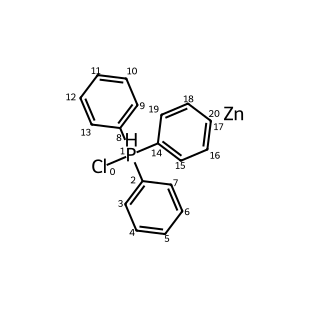 Cl[PH](c1ccccc1)(c1ccccc1)c1ccccc1.[Zn]